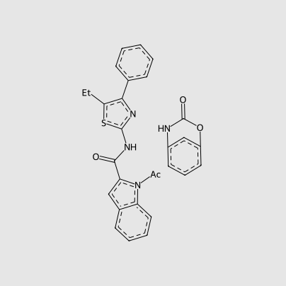 CCc1sc(NC(=O)c2cc3ccccc3n2C(C)=O)nc1-c1ccccc1.O=C1Nc2cccc(c2)O1